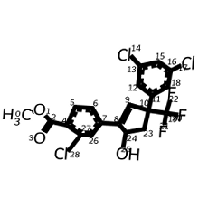 COC(=O)c1ccc(C2=CC(c3cc(Cl)cc(Cl)c3)(C(F)(F)F)CC2O)cc1Cl